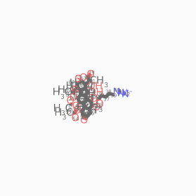 CC(=O)O[C@H]1[C@H]2[C@H]([C@@H]3[C@@H](O)[C@@H]4[C@H]([C@H](C)[C@H]5O[C@]56OC(=O)[C@@](C)(O)[C@]46C)[C@@]3(C)[C@H]1OC(C)=O)[C@@H](OC(=O)CCCCN=[N+]=[N-])C(=O)[C@H]1C[C@@H]3O[C@@H]3[C@H](OC(C)=O)[C@]21C